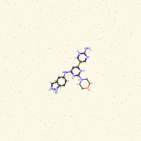 Nc1ncc(-c2cc(Nc3ccc4[nH]ncc4c3)nc(N3CCOCC3)n2)cn1